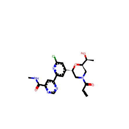 C=CC(=O)N1C[C@H](c2cc(Cl)nc(-c3cc(C(=O)NC)ncn3)c2)O[C@@H]([C@H](C)O)C1